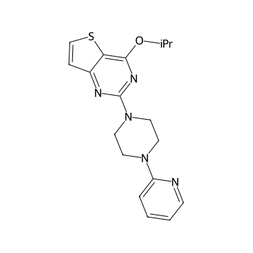 CC(C)Oc1nc(N2CCN(c3ccccn3)CC2)nc2ccsc12